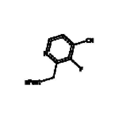 CCCCCCc1nccc(C#N)c1F